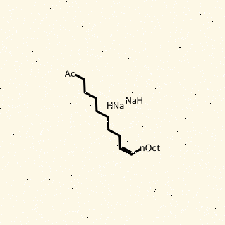 CCCCCCCC/C=C\CCCCCCCC(C)=O.[NaH].[NaH]